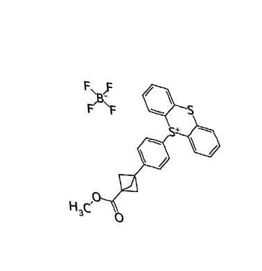 COC(=O)C12CC(c3ccc([S+]4c5ccccc5Sc5ccccc54)cc3)(C1)C2.F[B-](F)(F)F